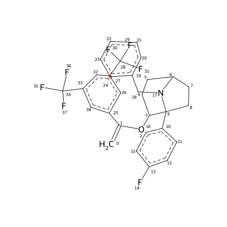 C=C(OC1CCC2CCC1(c1ccc(F)cc1)N2Cc1ccccc1)c1cc(C(F)(F)F)cc(C(F)(F)F)c1